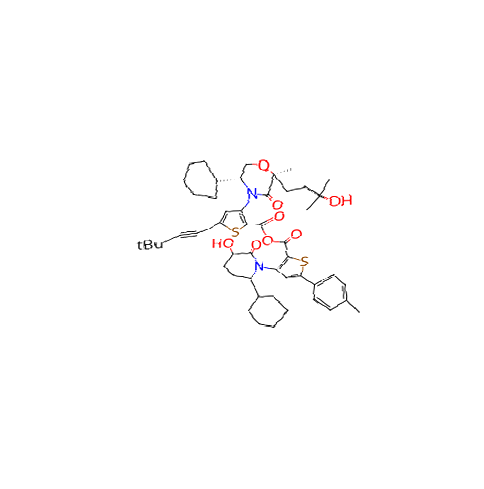 Cc1ccc(-c2cc(N3C(=O)C(O)CCC3C3CCCCC3)c(C(=O)OC(=O)c3sc(C#CC(C)(C)C)cc3N3C(=O)[C@](C)(CCC(C)(C)O)OC[C@H]3C3CCCCC3)s2)cc1